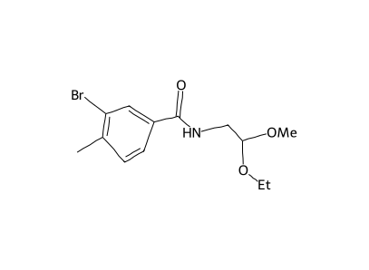 CCOC(CNC(=O)c1ccc(C)c(Br)c1)OC